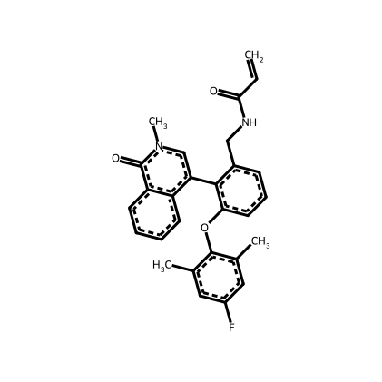 C=CC(=O)NCc1cccc(Oc2c(C)cc(F)cc2C)c1-c1cn(C)c(=O)c2ccccc12